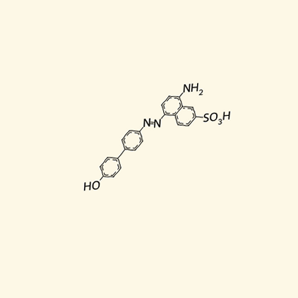 Nc1ccc(/N=N/c2ccc(-c3ccc(O)cc3)cc2)c2ccc(S(=O)(=O)O)cc12